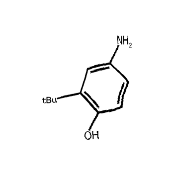 CC(C)(C)c1cc(N)ccc1O